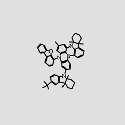 Cc1cc2c3c(c1)N1c4c(cccc4C4(C)CCCCC14C)B3c1ccc(N3c4ccc(C(C)(C)C)cc4C4(C)CCCCC34C)cc1N2c1cccc2c1oc1ccccc12